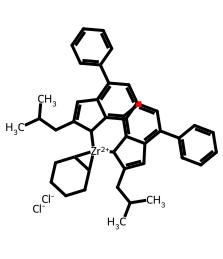 CC(C)CC1=Cc2c(-c3ccccc3)cccc2[CH]1[Zr+2]1([CH]2C(CC(C)C)=Cc3c(-c4ccccc4)cccc32)[CH]2CCCC[CH]21.[Cl-].[Cl-]